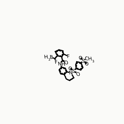 BC(F)c1cccc(F)c1C(=O)Nc1ccc2c(c1)N(S(=O)(=O)c1ccc(S(C)(=O)=O)cc1)CCC2